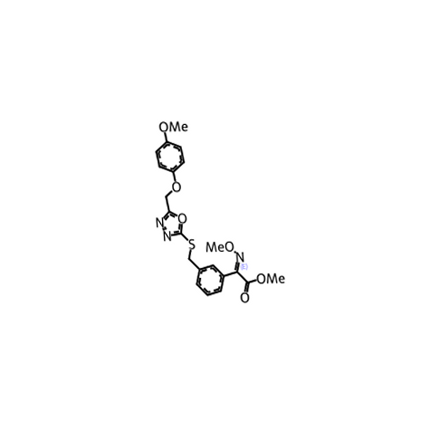 CO/N=C(/C(=O)OC)c1cccc(CSc2nnc(COc3ccc(OC)cc3)o2)c1